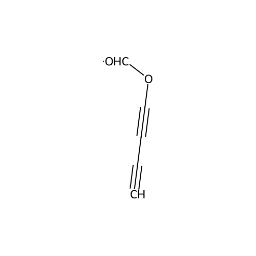 C#CC#CO[C]=O